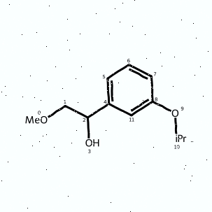 COCC(O)c1cccc(OC(C)C)c1